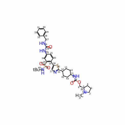 CN1CCC[C@@H]1COC(=O)NC1CCC(c2ncc(-c3ccc(NC(=O)NCc4ccccc4)cc3S(=O)(=O)NC(C)(C)C)s2)CC1